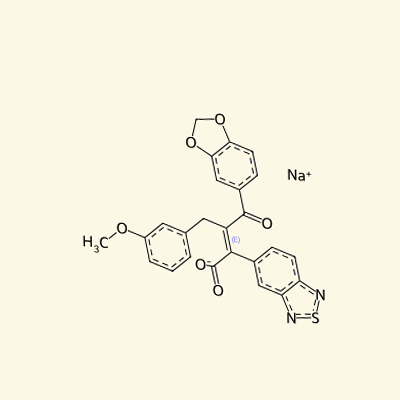 COc1cccc(C/C(C(=O)c2ccc3c(c2)OCO3)=C(\C(=O)[O-])c2ccc3nsnc3c2)c1.[Na+]